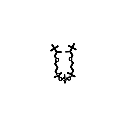 CC(COCCC[Si](C)(C)O[Si](C)(C)O[Si](C)(C)CCCOCC(C)C(C)(C)C)C(C)(C)C